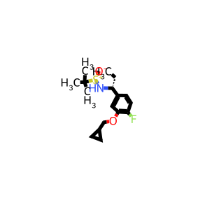 CC[C@@H](N[S+]([O-])C(C)(C)C)c1ccc(F)c(OCC2CC2)c1